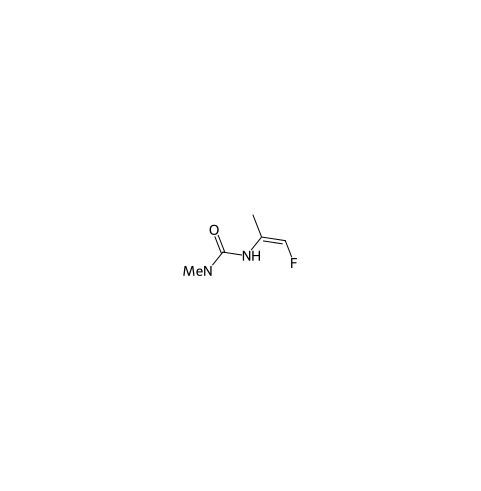 CNC(=O)N/C(C)=C\F